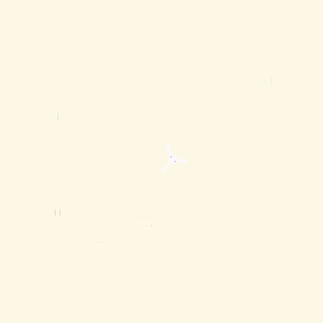 CCC(CCN(Cc1ccc(Cl)cc1)Cc1ccc(Cl)cc1)C(=O)O